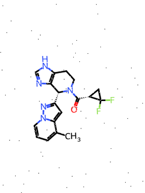 Cc1cccn2nc([C@@H]3c4nc[nH]c4CCN3C(=O)[C@@H]3CC3(F)F)cc12